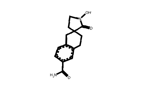 NC(=O)c1ccc2c(c1)CCC1(CCN(O)C1=O)C2